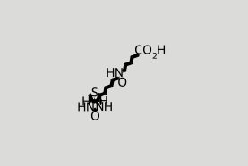 O=C(O)CCCCCNC(=O)CCCCC1SC[C@@H]2NC(=O)N[C@H]12